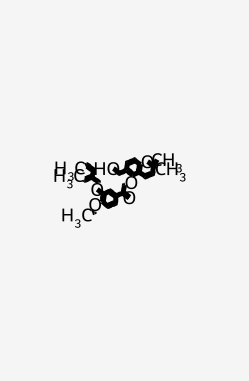 C/C=C\C(=C/C)COc1cc(C(=O)COc2c(CO)ccc3c2C=CC(C)(C)O3)ccc1OCC